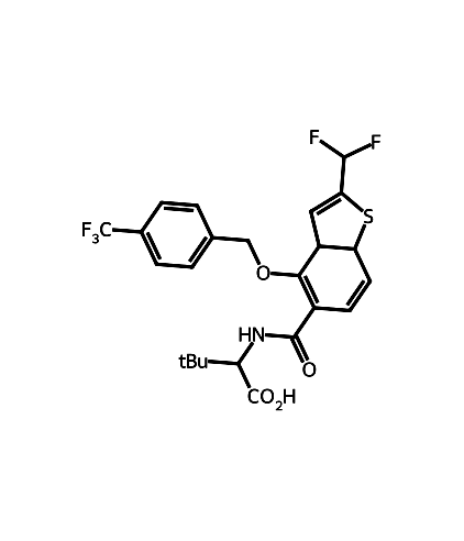 CC(C)(C)C(NC(=O)C1=C(OCc2ccc(C(F)(F)F)cc2)C2C=C(C(F)F)SC2C=C1)C(=O)O